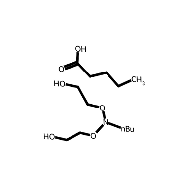 CCCCC(=O)O.CCCCN(OCCO)OCCO